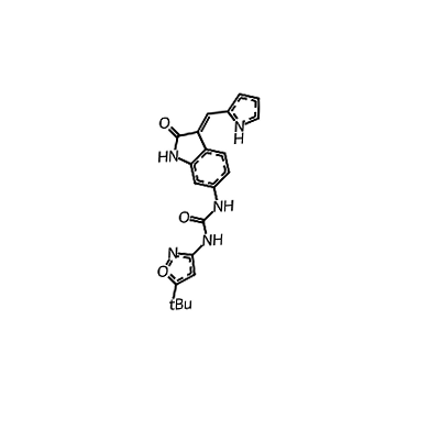 CC(C)(C)c1cc(NC(=O)Nc2ccc3c(c2)NC(=O)C3=Cc2ccc[nH]2)no1